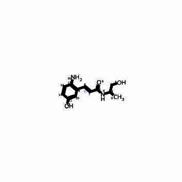 CC(CO)NC(=O)/C=C/c1cc(O)ccc1N